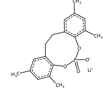 Cc1cc(C)c2c(c1)CCc1cc(C)cc(C)c1OP(=O)([O-])O2.[Li+]